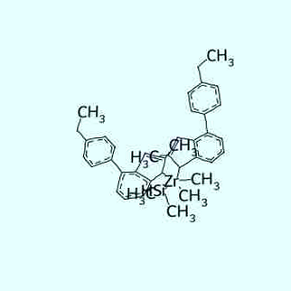 CCc1ccc(-c2cccc3c2C=C(C)[CH]3[Zr]([CH3])([CH3])([CH]2C(C)=Cc3c(-c4ccc(CC)cc4)cccc32)[SiH](C)C)cc1